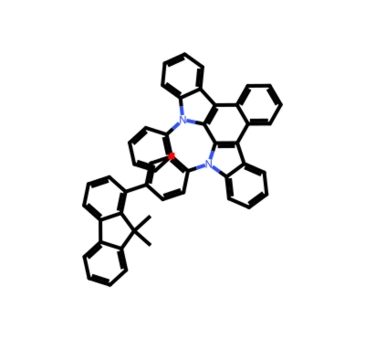 CC1(C)c2ccccc2-c2cccc(-c3ccc(-n4c5ccccc5c5c6ccccc6c6c7ccccc7n(-c7ccccc7)c6c54)cc3)c21